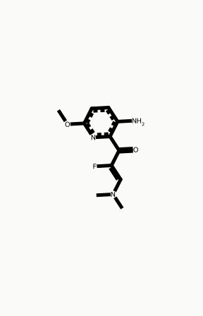 COc1ccc(N)c(C(=O)/C(F)=C/N(C)C)n1